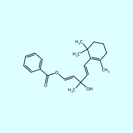 CC1=C(/C=C/C(C)(O)/C=C/OC(=O)c2ccccc2)C(C)(C)CCC1